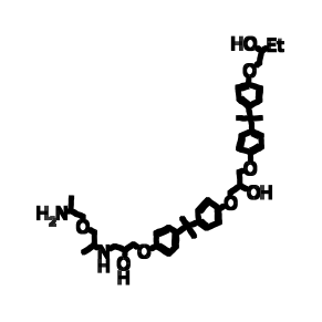 CCC(O)COc1ccc(C(C)(C)c2ccc(OCC(O)COc3ccc(C(C)(C)c4ccc(OCC(O)CNC(C)COCC(C)N)cc4)cc3)cc2)cc1